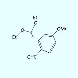 CCOC(C)OCC.COc1ccc(C=O)cc1